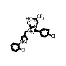 O=c1n(Cc2cnn(-c3ccccc3Cl)c2)nc(-c2ccc(Cl)cc2)n1C[C@H](O)C(F)(F)F